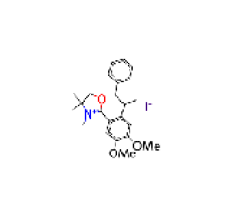 COc1cc(C2=[N+](C)C(C)(C)CO2)c(C(C)Cc2ccccc2)cc1OC.[I-]